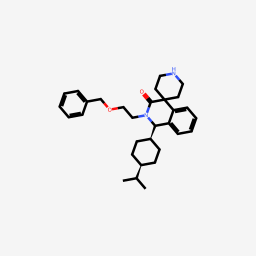 CC(C)[C@H]1CC[C@@H](C2c3ccccc3C3(CCNCC3)C(=O)N2CCOCc2ccccc2)CC1